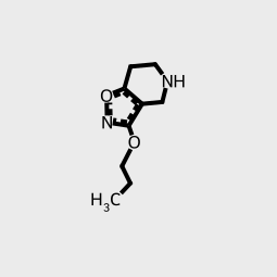 CCCOc1noc2c1CNCC2